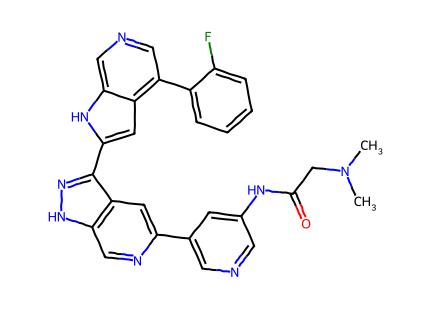 CN(C)CC(=O)Nc1cncc(-c2cc3c(-c4cc5c(-c6ccccc6F)cncc5[nH]4)n[nH]c3cn2)c1